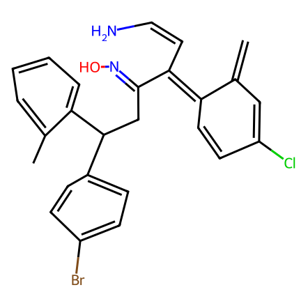 C=c1cc(Cl)cc/c1=C(/C=C\N)C(\CC(c1ccc(Br)cc1)c1ccccc1C)=N\O